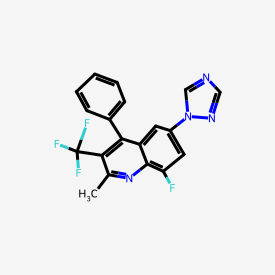 Cc1nc2c(F)cc(-n3cncn3)cc2c(-c2ccccc2)c1C(F)(F)F